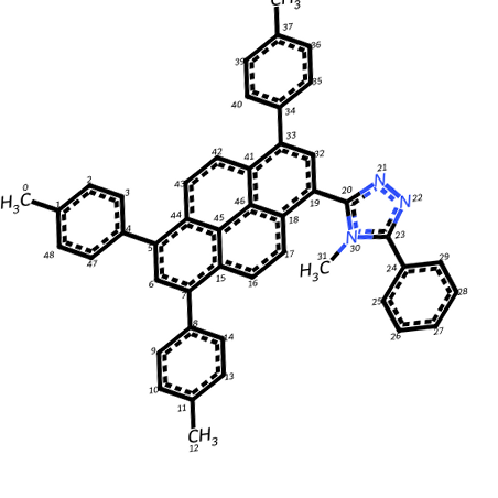 Cc1ccc(-c2cc(-c3ccc(C)cc3)c3ccc4c(-c5nnc(-c6ccccc6)n5C)cc(-c5ccc(C)cc5)c5ccc2c3c54)cc1